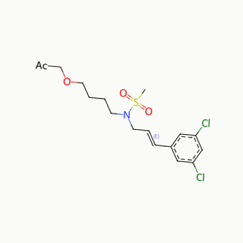 CC(=O)COCCCCN(C/C=C/c1cc(Cl)cc(Cl)c1)S(C)(=O)=O